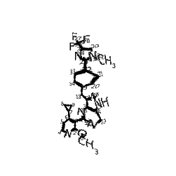 COc1nccc(C2CC2)c1-c1ncc2[nH]nc(Cc3ccc(-c4nc(C(F)(F)F)cn4C)cc3)c2n1